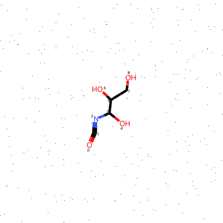 O=C=NC(O)C(O)CO